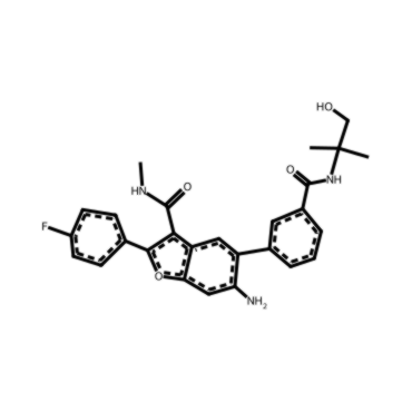 CNC(=O)c1c(-c2ccc(F)cc2)oc2cc(N)c(-c3cccc(C(=O)NC(C)(C)CO)c3)cc12